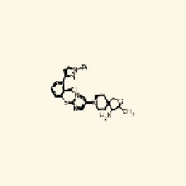 CC(C)n1ccc(-c2cccc(Sc3ncc(N4CCC5(CC4)CO[C@@H](C)[C@H]5N)cn3)c2Cl)n1